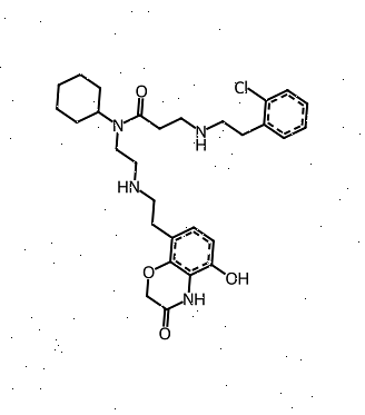 O=C1COc2c(CCNCCN(C(=O)CCNCCc3ccccc3Cl)C3CCCCC3)ccc(O)c2N1